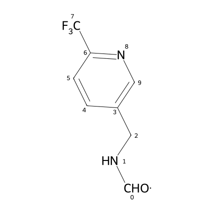 O=[C]NCc1ccc(C(F)(F)F)nc1